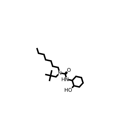 CCCCCCCN(CC(C)(C)C)C(=O)NC1CCCCC1O